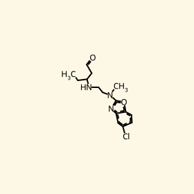 CCC(CC=O)NCCN(C)c1nc2cc(Cl)ccc2o1